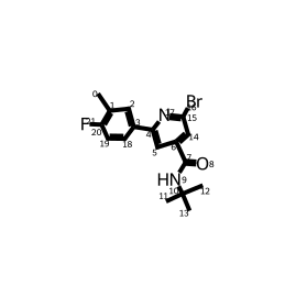 Cc1cc(-c2cc(C(=O)NC(C)(C)C)cc(Br)n2)ccc1F